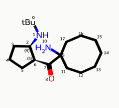 CC(C)(C)N[C@@H]1CCC[C@@H]1C(=O)C1(N)CCCCCCC1